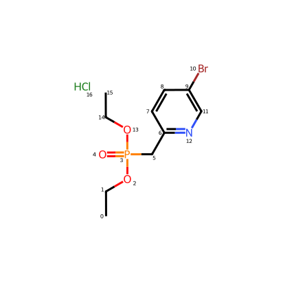 CCOP(=O)(Cc1ccc(Br)cn1)OCC.Cl